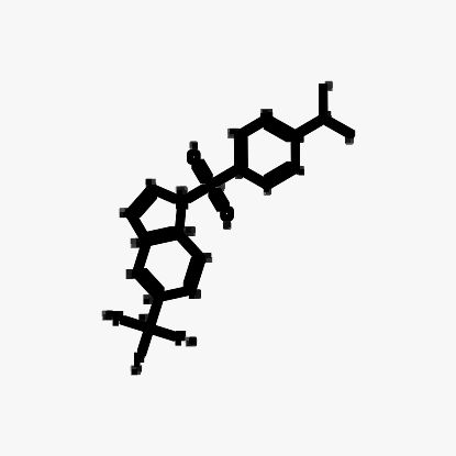 CC(C)c1ccc(S(=O)(=O)n2ccc3cc(C(F)(F)F)ccc32)cc1